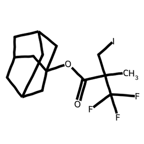 CC(CI)(C(=O)OC12CC3CC(CC(C3)C1)C2)C(F)(F)F